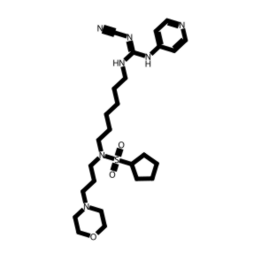 N#C/N=C(\NCCCCCCN(CCCN1CCOCC1)S(=O)(=O)C1CCCC1)Nc1ccncc1